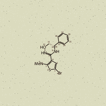 CNc1sc(Br)cc1C(=N)N[C@H](CO)c1ccccc1